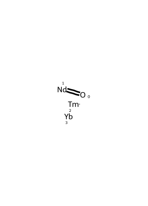 [O]=[Nd].[Tm].[Yb]